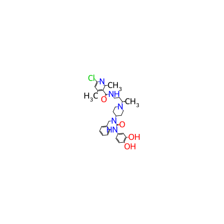 Cc1cc(Cl)nc(C)c1C(=O)NCC[C@@H](C)N1CCC(N(Cc2ccccc2)C(=O)Nc2ccc(O)c(O)c2)CC1